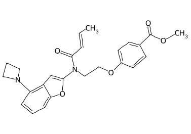 CC=CC(=O)N(CCOc1ccc(C(=O)OC)cc1)c1cc2c(N3CCC3)cccc2o1